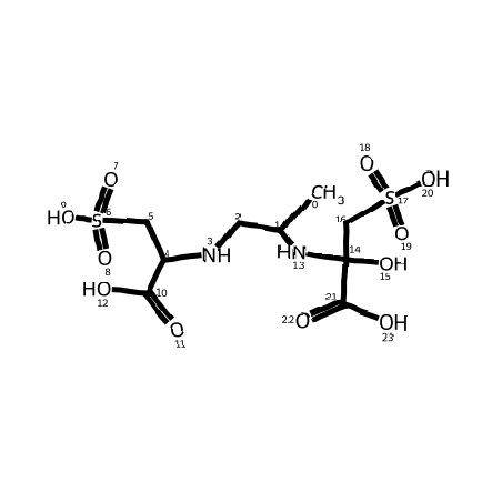 CC(CNC(CS(=O)(=O)O)C(=O)O)NC(O)(CS(=O)(=O)O)C(=O)O